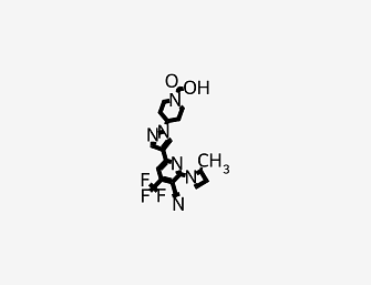 C[C@H]1CCN1c1nc(-c2cnn(C3CCN(C(=O)O)CC3)c2)cc(C(F)(F)F)c1C#N